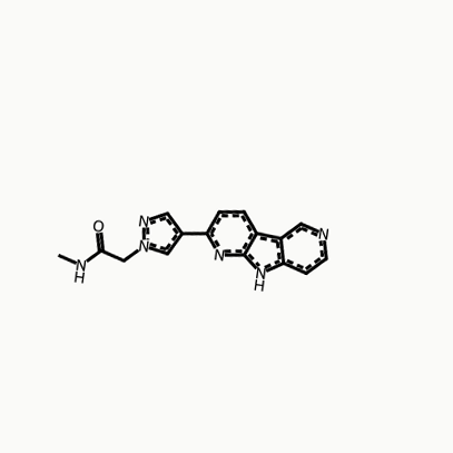 CNC(=O)Cn1cc(-c2ccc3c(n2)[nH]c2ccncc23)cn1